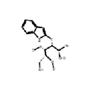 O=C[C@H](O)[C@@H](Oc1cc2ccccc2[nH]1)[C@@H](OCl)[C@@H](CO)OBr